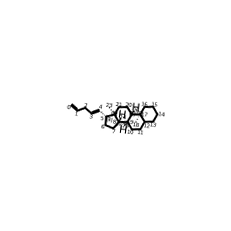 C=CCC=C[C@H]1CC[C@H]2[C@@H]3CCC4CCCC[C@]4(C)[C@H]3CC[C@]12C